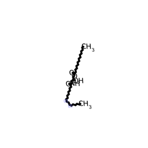 CCCCC/C=C\C/C=C\CCCCCCCC(=O)NCC(O)COC(=O)CCCCCCCCCCCCCCC